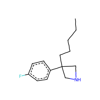 CCCCCC1(c2ccc(F)cc2)CNC1